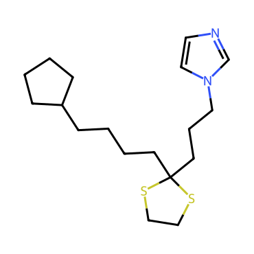 c1cn(CCCC2(CCCCC3CCCC3)SCCS2)cn1